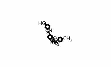 Cc1ccc(S(=O)(=O)Oc2cc(-c3nc4ccc(O)cc4s3)ccc2[N+](=O)[O-])cc1